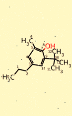 [CH2]CCc1cc(C)c(O)c(C(C)(C)C)c1